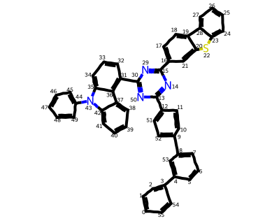 c1ccc(-c2cccc(-c3ccc(-c4nc(-c5ccc6c(c5)sc5ccccc56)nc(-c5cccc6c5c5ccccc5n6-c5ccccc5)n4)cc3)c2)cc1